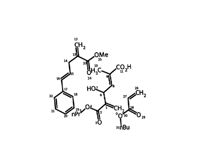 C=C(C(=O)OCCC)C(O)C=C(C)C(=O)O.C=C(CC=Cc1ccccc1)C(=O)OC.C=CC(=O)OCCCC